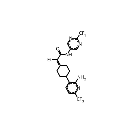 CCC(C(=O)Nc1cnc(C(F)(F)F)nc1)=C1CCC(c2ccc(C(F)(F)F)nc2N)CC1